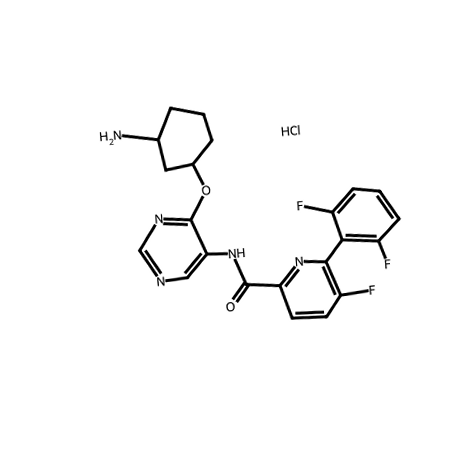 Cl.NC1CCCC(Oc2ncncc2NC(=O)c2ccc(F)c(-c3c(F)cccc3F)n2)C1